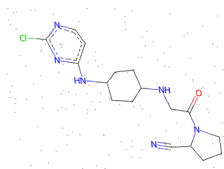 N#CC1CCCN1C(=O)CNC1CCC(Nc2ccnc(Cl)n2)CC1